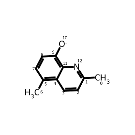 Cc1ccc2c(C)ccc([O])c2n1